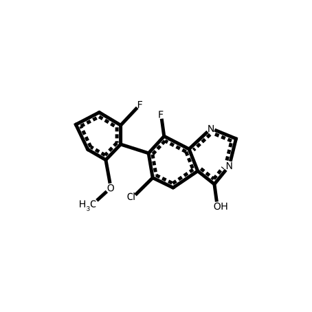 COc1cccc(F)c1-c1c(Cl)cc2c(O)ncnc2c1F